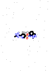 COc1ccc2cnn(C)c2c1NS(=O)(=O)c1ccc(-c2nc(C)nn2C)nc1